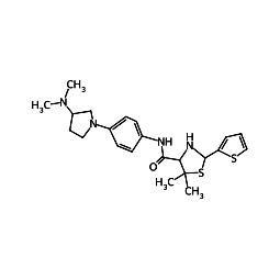 CN(C)C1CCN(c2ccc(NC(=O)C3NC(c4cccs4)SC3(C)C)cc2)C1